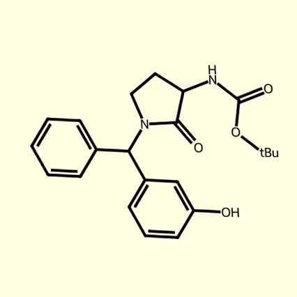 CC(C)(C)OC(=O)NC1CCN(C(c2ccccc2)c2cccc(O)c2)C1=O